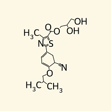 Cc1nc(C2=CC=C(OCC(C)C)C(C#N)C2)sc1C(=O)OCC(O)CO